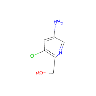 Nc1cnc(CO)c(Cl)c1